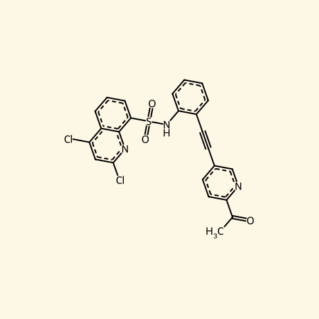 CC(=O)c1ccc(C#Cc2ccccc2NS(=O)(=O)c2cccc3c(Cl)cc(Cl)nc23)cn1